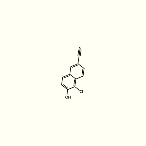 N#Cc1ccc2c(Cl)c(O)ccc2c1